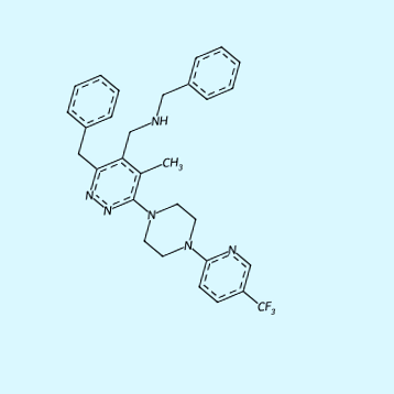 Cc1c(N2CCN(c3ccc(C(F)(F)F)cn3)CC2)nnc(Cc2ccccc2)c1CNCc1ccccc1